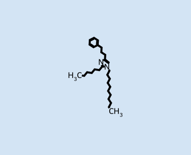 CCCCCCCCCCCn1cc(CCCc2ccccc2)nc1CCCCCC